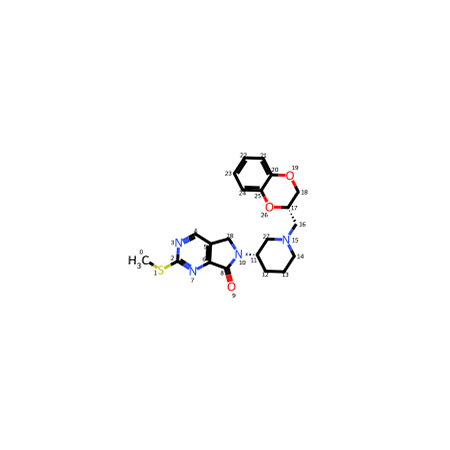 CSc1ncc2c(n1)C(=O)N([C@H]1CCCN(C[C@H]3COc4ccccc4O3)C1)C2